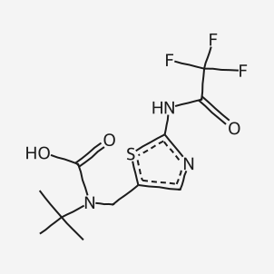 CC(C)(C)N(Cc1cnc(NC(=O)C(F)(F)F)s1)C(=O)O